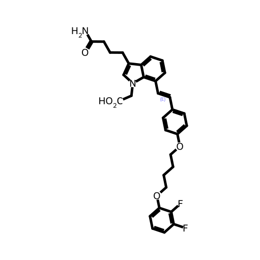 NC(=O)CCCc1cn(CC(=O)O)c2c(/C=C/c3ccc(OCCCCOc4cccc(F)c4F)cc3)cccc12